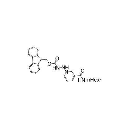 [CH2]CCCC[CH]NC(=O)C1=CC=CN(NNC(=O)OCC2c3ccccc3-c3ccccc32)C1